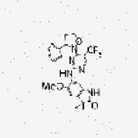 COc1cc2c(cc1Nc1ncc(C(F)(F)F)c(N3OCCC3c3ccccc3)n1)NC(=O)C21CC1